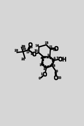 COc1cc2c(c(O)c1C=O)C(=O)CCC2OC(=O)C(C)(C)C